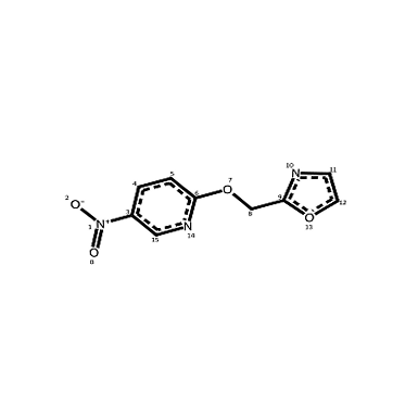 O=[N+]([O-])c1ccc(OCc2ncco2)nc1